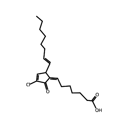 CCCCCC/C=C/C1C=C(Cl)C(=O)/C1=C\CCCCCC(=O)O